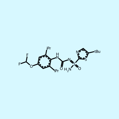 CC(C)c1cc(OC(F)F)cc(C(C)C)c1NC(=O)N=S(N)(=O)c1ncc(C(C)(C)C)s1